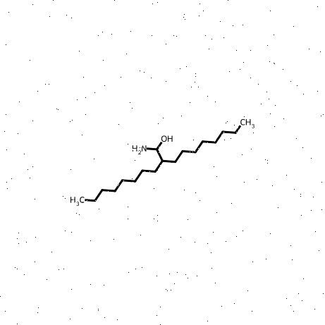 CCCCCCCCC(CCCCCCCC)C(N)O